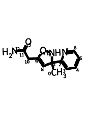 CC1(c2ccccn2)C=C(CC(N)=O)ON1